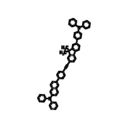 CC1(C)c2cc(C#Cc3ccc(-c4ccc5cc(N(c6ccccc6)c6ccccc6)ccc5c4)cc3)ccc2-c2ccc(-c3ccc(N(c4ccccc4)c4ccccc4)cc3)cc21